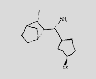 CC[C@@H]1CC[C@H]([C@@H](N)[C@@H]2C3CCC(C3)[C@@H]2C)C1